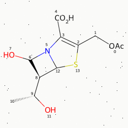 CC(=O)OCC1=C(C(=O)O)N2C(O)[C@H]([C@@H](C)O)C2S1